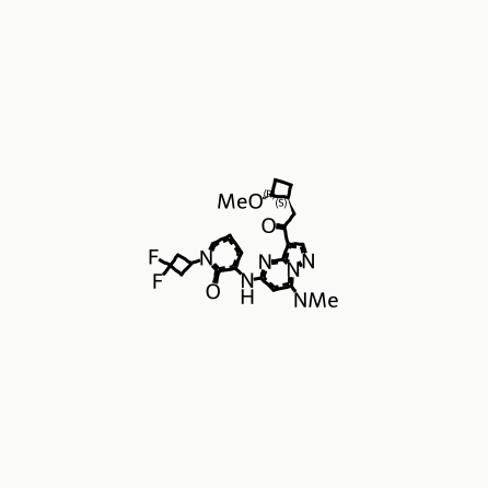 CNc1cc(Nc2cccn(C3CC(F)(F)C3)c2=O)nc2c(C(=O)C[C@@H]3CC[C@H]3OC)cnn12